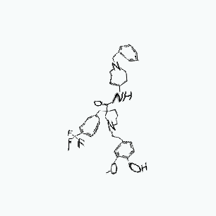 COc1cc(CN2CCCC(Cc3ccc(C(F)(F)F)cc3)(C(=O)NC3CCN(Cc4ccccc4)CC3)C2)ccc1O